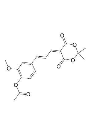 COc1cc(C=CC=C2C(=O)OC(C)(C)OC2=O)ccc1OC(C)=O